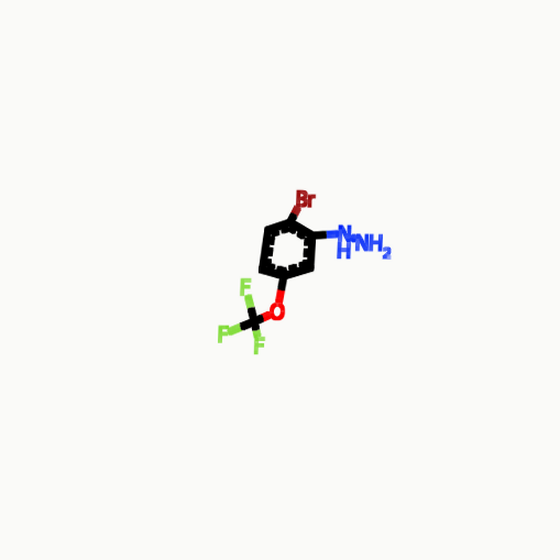 NNc1cc(OC(F)(F)F)ccc1Br